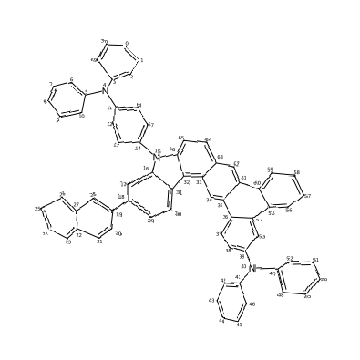 c1ccc(N(c2ccccc2)c2ccc(-n3c4cc(-c5ccc6ccccc6c5)ccc4c4c5cc6c7ccc(N(c8ccccc8)c8ccccc8)cc7c7ccccc7c6cc5ccc43)cc2)cc1